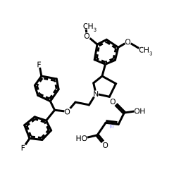 COc1cc(OC)cc(C2CCN(CCOC(c3ccc(F)cc3)c3ccc(F)cc3)C2)c1.O=C(O)/C=C/C(=O)O